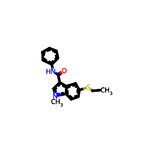 CCSc1ccc2c(c1)c(C(=O)Nc1ccccc1)[c]n2C